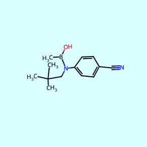 CB(O)N(CC(C)(C)C)c1ccc(C#N)cc1